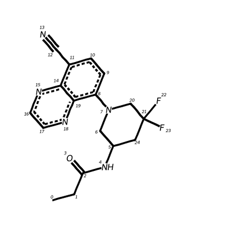 CCC(=O)NC1CN(c2ccc(C#N)c3nccnc23)CC(F)(F)C1